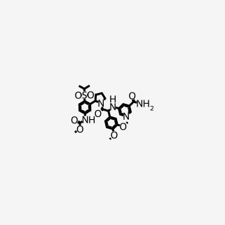 COC(=O)Nc1ccc(S(=O)(=O)C(C)C)c(C2CCCN2C(=O)C(Nc2cncc(C(N)=O)c2)c2ccc(OC)c(OC)c2)c1